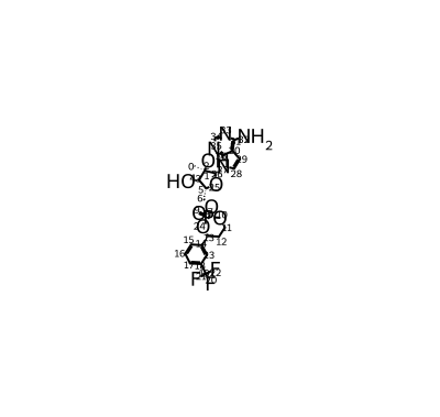 C[C@@]1(O)[C@H](O)[C@@H](COP2(=O)OCC[C@@H](c3cccc(C(F)(F)F)c3)O2)O[C@H]1n1ccc2c(N)ncnc21